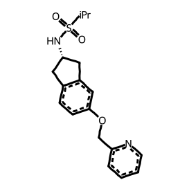 CC(C)S(=O)(=O)N[C@H]1Cc2ccc(OCc3ccccn3)cc2C1